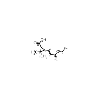 CC1(C)C(/C=C/C(=O)OCF)C1C(=O)O